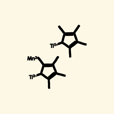 CC1=C(C)[CH]([Ti+3])C(C)=C1C.CC1=C(C)[CH]([Ti+3])C(C)=C1C.[Mn+2]